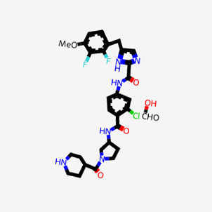 COc1ccc(Cc2cnc(C(=O)Nc3ccc(C(=O)NC4CCN(C(=O)C5CCNCC5)C4)c(Cl)c3)[nH]2)c(F)c1F.O=CO